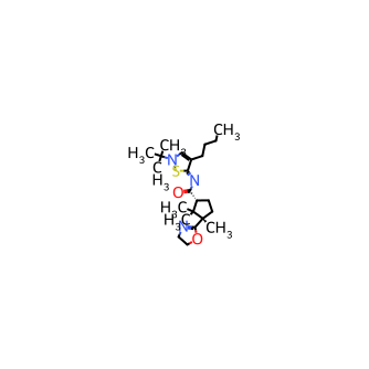 CCCCc1cn(C(C)(C)C)s/c1=N\C(=O)[C@@H]1CC[C@](C)(C2=NCCO2)C1(C)C